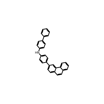 c1ccc(-c2ccc(Nc3ccc(-c4ccc5ccc6ccccc6c5c4)cc3)cc2)cc1